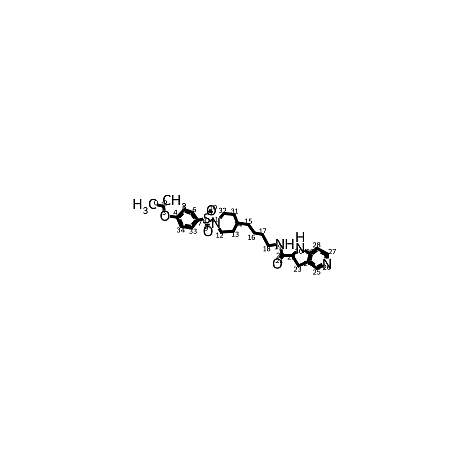 CC(C)Oc1ccc(S(=O)(=O)N2CCC(CCCCNC(=O)C3Cc4cnccc4N3)CC2)cc1